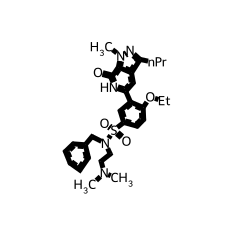 CCCc1nn(C)c2c(=O)[nH]c(-c3cc(S(=O)(=O)N(CCN(C)C)Cc4ccccc4)ccc3OCC)cc12